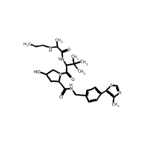 CCCNC(C)C(=O)NC(C(=O)N1CC(O)CC1C(=O)NCc1ccc(-c2scnc2C)cc1)C(C)(C)C